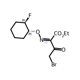 CCOC(=O)/C(=N\O[C@@H]1CCCC[C@H]1F)C(=O)CBr